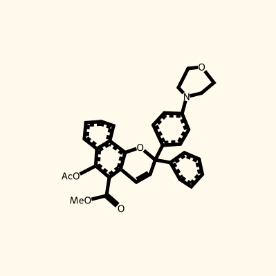 COC(=O)c1c2c(c3ccccc3c1OC(C)=O)OC(c1ccccc1)(c1ccc(N3CCOCC3)cc1)C=C2